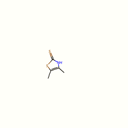 Cc1[nH]c(=S)sc1C